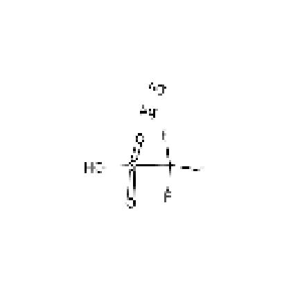 O=S(=O)(O)C(F)(F)F.[Ag].[Ag]